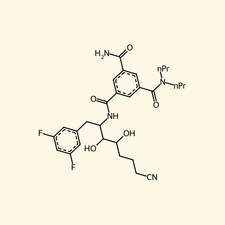 CCCN(CCC)C(=O)c1cc(C(N)=O)cc(C(=O)NC(Cc2cc(F)cc(F)c2)C(O)C(O)CCCC#N)c1